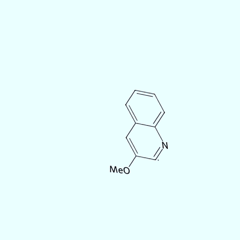 COc1[c]nc2ccccc2c1